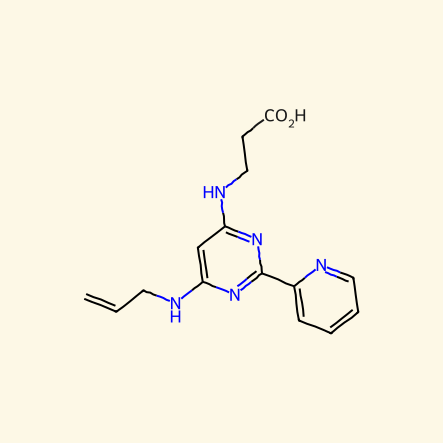 C=CCNc1cc(NCCC(=O)O)nc(-c2ccccn2)n1